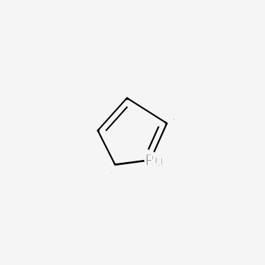 C1=C[CH2][Ru]=[CH]1